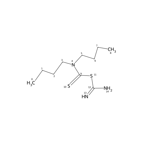 CCCCN(CCCC)C(=S)SC(=N)N